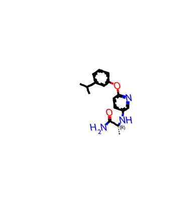 CC(C)c1cccc(Oc2ccc(N[C@H](C)C(N)=O)cn2)c1